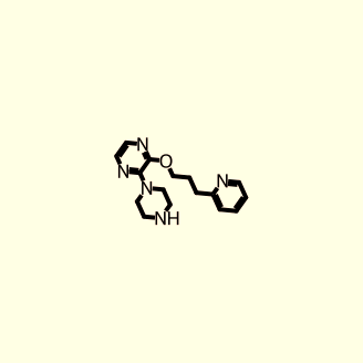 c1ccc(CCCOc2nccnc2N2CCNCC2)nc1